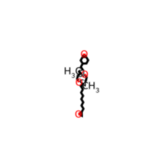 C[Si]1(CCCCCCCCC2CO2)CCO[Si](C)(CCC2CCC3OC3C2)CCO1